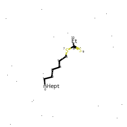 CCCCCCCCCCCCCSC(=S)CC